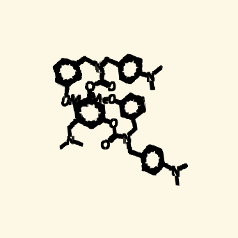 COc1cccc(CN(Cc2ccc(N(C)C)cc2)C(=O)Oc2cc(CN(C)C)cc(OC(=O)N(Cc3ccc(N(C)C)cc3)Cc3cccc(OC)c3)c2)c1